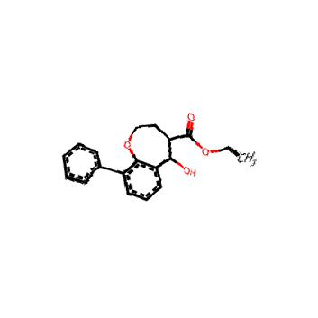 CCOC(=O)C1CCOc2c(-c3ccccc3)cccc2C1O